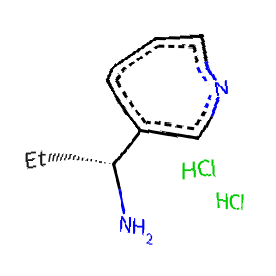 CC[C@@H](N)c1cccnc1.Cl.Cl